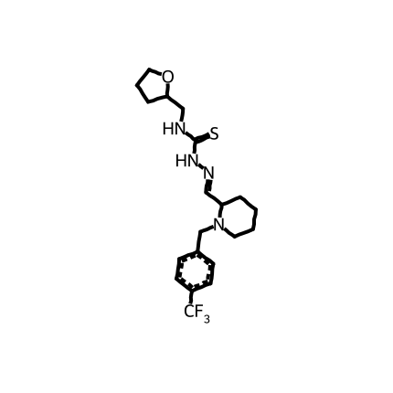 FC(F)(F)c1ccc(CN2CCCCC2C=NNC(=S)NCC2CCCO2)cc1